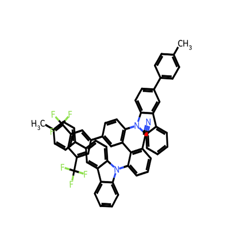 Cc1ccc(-c2ccc3c(c2)c2ccccc2n3-c2ccc(-c3cc(C(F)(F)F)cc(C(F)(F)F)c3)cc2-c2c(C#N)cccc2-n2c3ccccc3c3cc(-c4ccc(C)cc4)ccc32)cc1